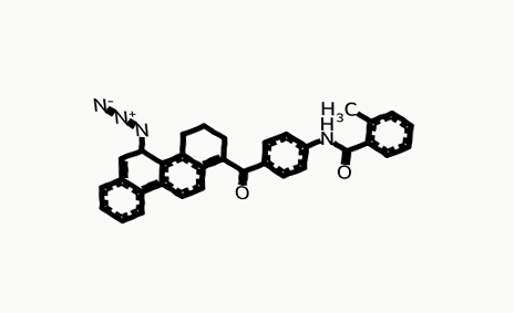 Cc1ccccc1C(=O)Nc1ccc(C(=O)C2=c3ccc4c(c3CCC2)C(N=[N+]=[N-])C=c2ccccc2=4)cc1